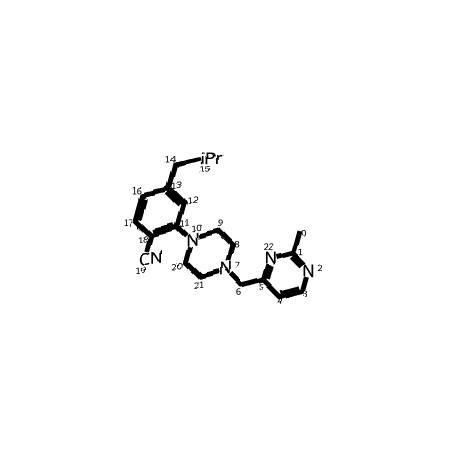 Cc1nccc(CN2CCN(c3cc(CC(C)C)ccc3C#N)CC2)n1